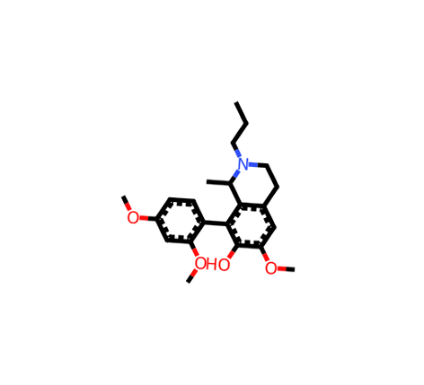 CCCN1CCc2cc(OC)c(O)c(-c3ccc(OC)cc3OC)c2C1C